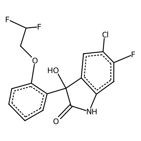 O=C1Nc2cc(F)c(Cl)cc2C1(O)c1ccccc1OCC(F)F